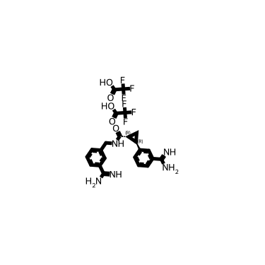 N=C(N)c1cccc(CNC(=O)[C@@H]2C[C@H]2c2cccc(C(=N)N)c2)c1.O=C(O)C(F)(F)F.O=C(O)C(F)(F)F